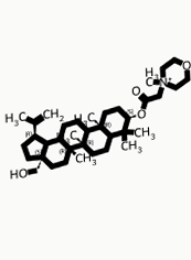 C=C(C)[C@@H]1CC[C@]2(CO)CC[C@]3(C)C(CCC4[C@@]5(C)CC[C@H](OC(=O)C[N+]6(C)CCOCC6)C(C)(C)C5CC[C@]43C)C12